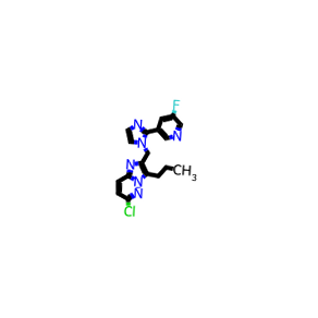 CCCc1c(Cn2ccnc2-c2cncc(F)c2)nc2ccc(Cl)nn12